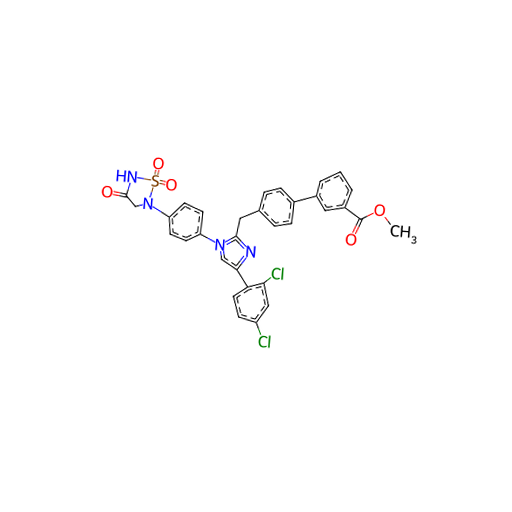 COC(=O)c1cccc(-c2ccc(Cc3nc(-c4ccc(Cl)cc4Cl)cn3-c3ccc(N4CC(=O)NS4(=O)=O)cc3)cc2)c1